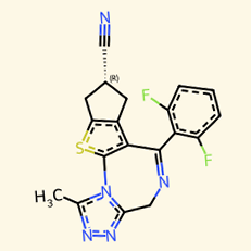 Cc1nnc2n1-c1sc3c(c1C(c1c(F)cccc1F)=NC2)C[C@@H](C#N)C3